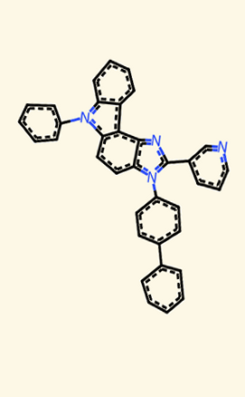 c1ccc(-c2ccc(-n3c(-c4cccnc4)nc4c5c6ccccc6n(-c6ccccc6)c5ccc43)cc2)cc1